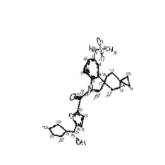 CS(=O)(=O)Nc1ccc2c(c1)C1(CCC3(CC3)CC1)CN2C(=O)c1ccc([C@H](O)C2CCCC2)o1